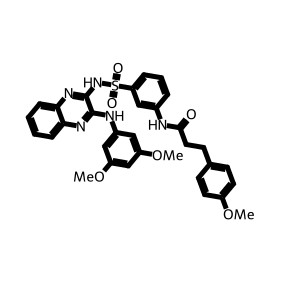 COc1ccc(CCC(=O)Nc2cccc(S(=O)(=O)Nc3nc4ccccc4nc3Nc3cc(OC)cc(OC)c3)c2)cc1